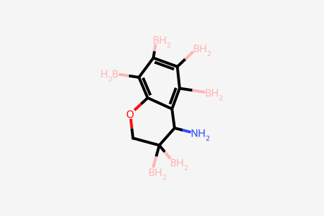 Bc1c(B)c(B)c2c(c1B)OCC(B)(B)C2N